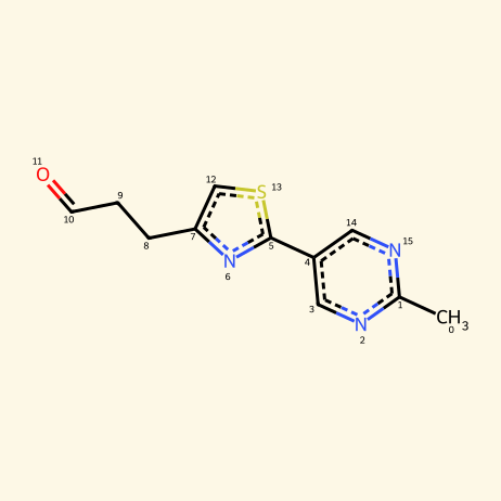 Cc1ncc(-c2nc(CCC=O)cs2)cn1